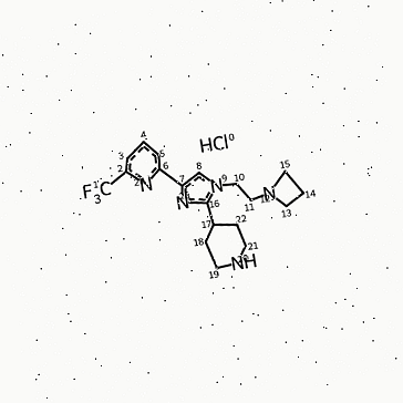 Cl.FC(F)(F)c1cccc(-c2cn(CCN3CCC3)c(C3CCNCC3)n2)n1